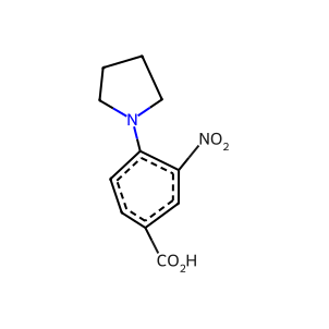 O=C(O)c1ccc(N2CCCC2)c([N+](=O)[O-])c1